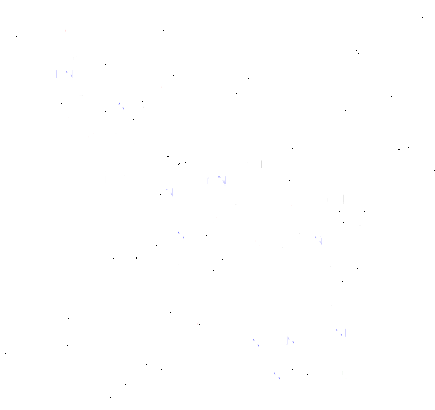 CC[C@@H]1CN(C2CC(OC3CCN(c4ncc(Cl)c(Nc5ccc6c(c5)cc(OCC(=O)NC)c(=O)n6C(C)C)n4)CC3)C2)CCN1c1ccc2c(c1C)C(=O)N(C1CCC(=O)NC1=O)C2=O